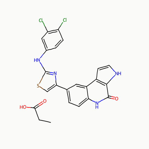 CCC(=O)O.O=c1[nH]c2ccc(-c3csc(Nc4ccc(Cl)c(Cl)c4)n3)cc2c2cc[nH]c12